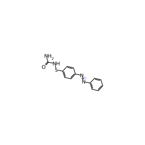 NC(=O)NSc1ccc(/N=N/c2ccccc2)cc1